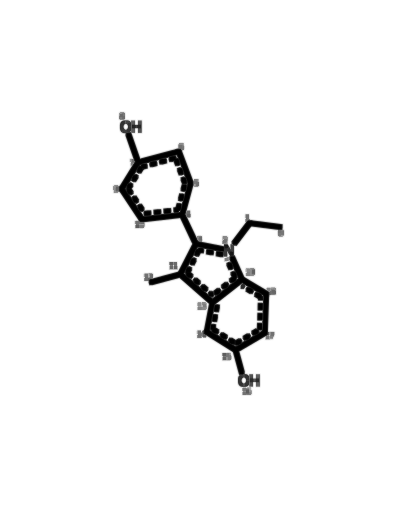 CCn1c(-c2ccc(O)cc2)c(C)c2cc(O)ccc21